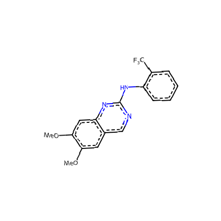 COc1cc2cnc(Nc3ccccc3C(F)(F)F)nc2cc1OC